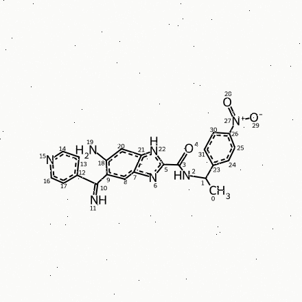 CC(NC(=O)c1nc2cc(C(=N)c3ccncc3)c(N)cc2[nH]1)c1ccc([N+](=O)[O-])cc1